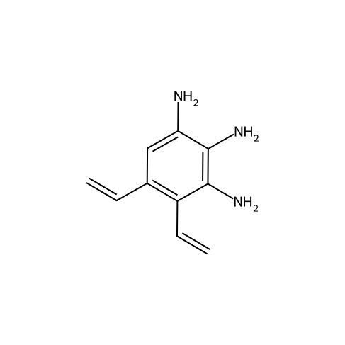 C=Cc1cc(N)c(N)c(N)c1C=C